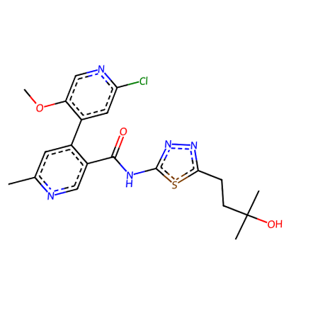 COc1cnc(Cl)cc1-c1cc(C)ncc1C(=O)Nc1nnc(CCC(C)(C)O)s1